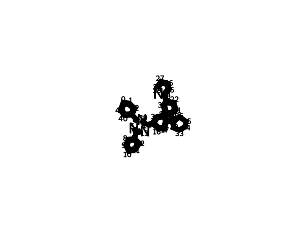 c1ccc(-c2nc(-c3ccccc3)nc(-c3ccc(C4(c5ccc(-c6ccccn6)cc5)CCCCC4)cc3)n2)cc1